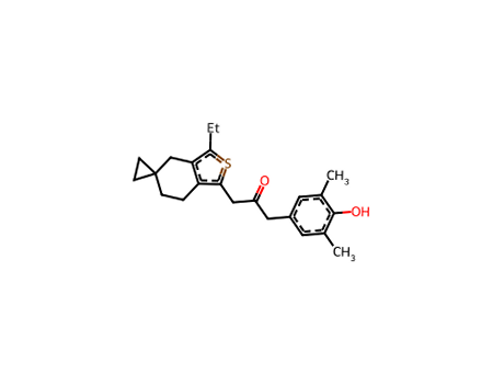 CCc1sc(CC(=O)Cc2cc(C)c(O)c(C)c2)c2c1CC1(CC2)CC1